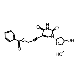 O=C(SCC#Cc1cn([C@@H]2CC(O)[C@H](CO)O2)c(=O)[nH]c1=O)c1ccccc1